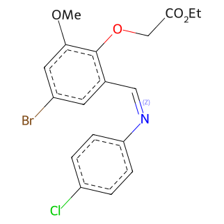 CCOC(=O)COc1c(/C=N\c2ccc(Cl)cc2)cc(Br)cc1OC